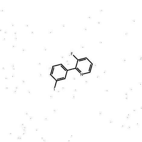 Fc1cccnc1-c1cc[c]c(I)c1